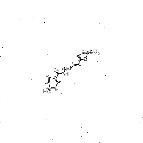 O=C(NN=CC=Cc1ccc([N+](=O)[O-])o1)c1ccc(O)cc1